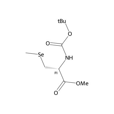 COC(=O)[C@H](C[Se]C)NC(=O)OC(C)(C)C